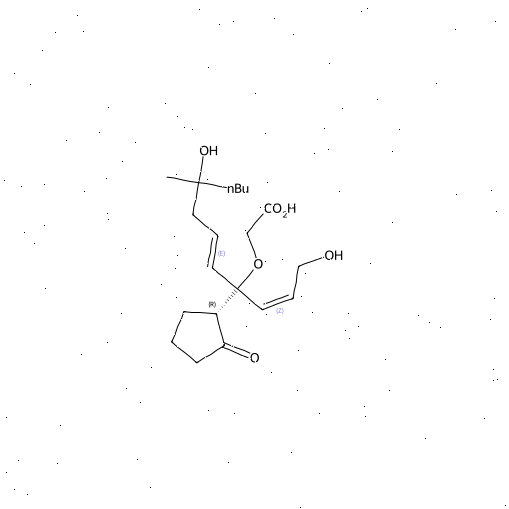 CCCCC(C)(O)C/C=C/C(/C=C\CO)(OCC(=O)O)[C@H]1CCCC1=O